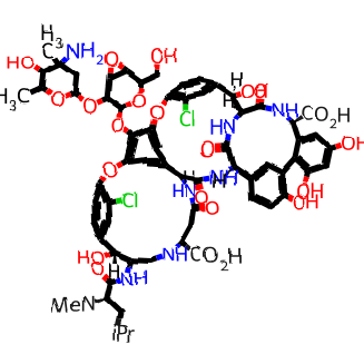 CN[C@H](CC(C)C)C(=O)NC1CNC(C(=O)O)CC(=O)N[C@H]2C(=O)N[C@H]3C(=O)N[C@H](C(=O)N[C@@H](C(=O)O)c4cc(O)cc(O)c4-c4cc3ccc4O)[C@H](O)c3ccc(c(Cl)c3)Oc3cc2cc(c3OC2OC(CO)C3OC3C2OC2CC(C)(N)C(O)C(C)O2)Oc2ccc(cc2Cl)[C@H]1O